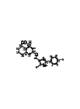 Cc1ccc(-c2nc(C)c(COc3ccc4c(c3)CCCC4C(=O)O)s2)cc1